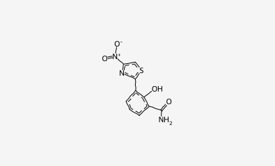 NC(=O)c1cccc(-c2nc([N+](=O)[O-])cs2)c1O